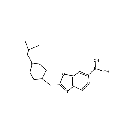 CC(C)CN1CCC(Cc2nc3ccc(B(O)O)cc3o2)CC1